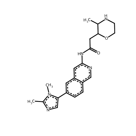 Cc1ncc(-c2ccc3cnc(NC(=O)CC4OCCNC4C)cc3c2)n1C